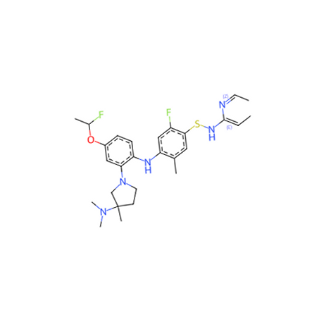 C/C=N\C(=C/C)NSc1cc(C)c(Nc2ccc(OC(C)F)cc2N2CCC(C)(N(C)C)C2)cc1F